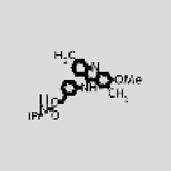 COc1cc2nc3cc(C)ccc3c(Nc3cccc(COC(=O)NC(C)C)c3)c2cc1C